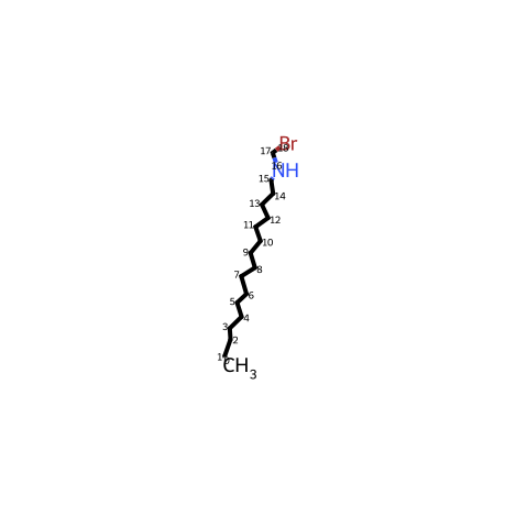 CCCCCCCCCCCCCCCCNCBr